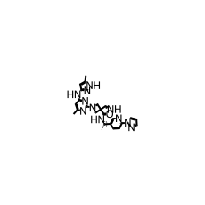 Cc1cc(Nc2cc(C)[nH]n2)nc(N2CC(C=N)(C(=O)N[C@@H](C)c3ccc(-n4cccn4)nc3)C2)n1